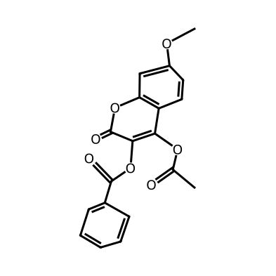 COc1ccc2c(OC(C)=O)c(OC(=O)c3ccccc3)c(=O)oc2c1